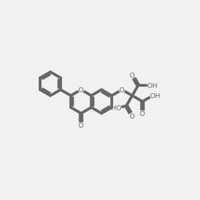 O=C(O)C(Oc1ccc2c(=O)cc(-c3ccccc3)oc2c1)(C(=O)O)C(=O)O